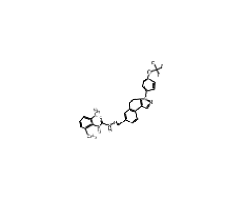 Cc1cccc(C)c1NC(=S)NN=Cc1ccc2c(c1)CCc1c-2cnn1-c1ccc(OC(F)(F)F)cc1